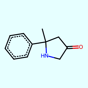 CC1(c2ccccc2)CC(=O)CN1